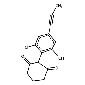 CC#Cc1cc(O)c(C2C(=O)CCCC2=O)c(Cl)c1